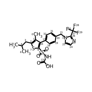 Cc1c(CC(C)C)sc(S(=O)(=O)NC(=O)O)c1-c1ccc(Cn2ccnc2C(F)(F)F)cc1